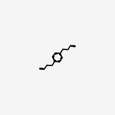 C=CCCc1ccc(CCC=C)cc1